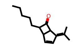 CCCCCC1C(=O)C2C(=C(C)C)C=CC12